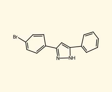 Brc1ccc(-c2cc(-c3ccccc3)[nH]n2)cc1